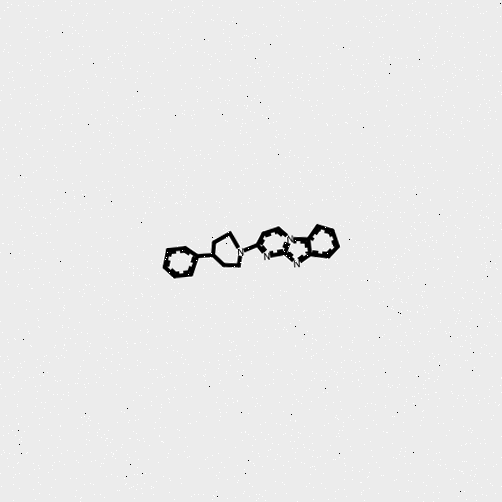 c1ccc(C2CCN(c3ccn4c(n3)nc3ccccc34)CC2)cc1